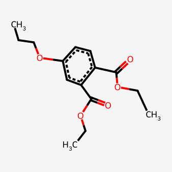 CCCOc1ccc(C(=O)OCC)c(C(=O)OCC)c1